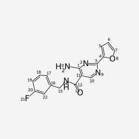 Nc1nc(-c2ccco2)ncc1C(=O)NCc1cccc(F)c1